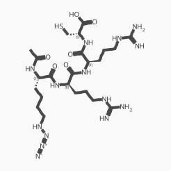 CC(=O)N[C@@H](CCCCNN=[N+]=[N-])C(=O)N[C@H](CCCNC(=N)N)C(=O)N[C@H](CCCNC(=N)N)C(=O)N[C@H](CS)C(=O)O